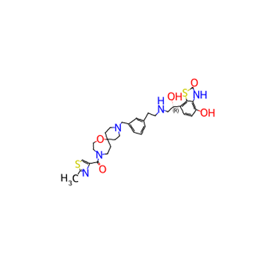 Cc1nc(C(=O)N2CCOC3(CCN(Cc4cccc(CCNC[C@H](O)c5ccc(O)c6[nH]c(=O)sc56)c4)CC3)CC2)cs1